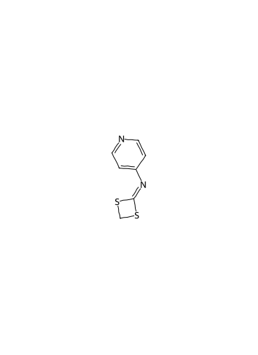 c1cc(N=C2SCS2)ccn1